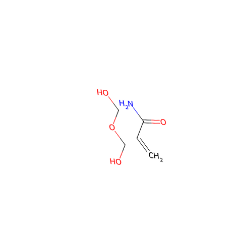 C=CC(N)=O.OCOCO